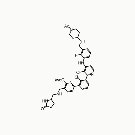 COc1nc(-c2cccc(-c3nccc(Nc4cccc(CNC5CCN(C(C)=O)CC5)c4F)c3Cl)c2Cl)ccc1CNCC1CCC(=O)N1